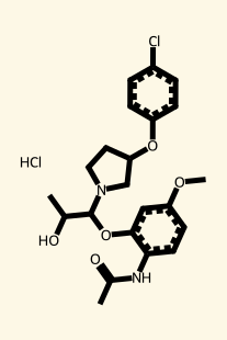 COc1ccc(NC(C)=O)c(OC(C(C)O)N2CCC(Oc3ccc(Cl)cc3)C2)c1.Cl